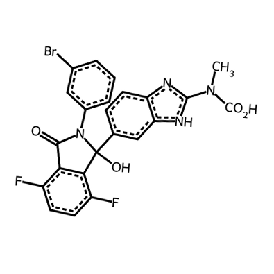 CN(C(=O)O)c1nc2ccc(C3(O)c4c(F)ccc(F)c4C(=O)N3c3cccc(Br)c3)cc2[nH]1